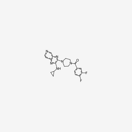 O=C(c1ccc(F)c(F)c1)N1CCN(c2nc3cnccc3nc2NC2CC2)CC1